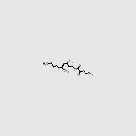 CCCCCC(C)=CC(C)CCOC(=O)C(=O)OCC